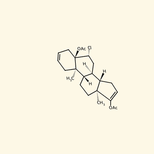 CC(=O)OC1=CC[C@H]2[C@@H]3C[C@@H](Cl)[C@@]4(OC(C)=O)CC=CC[C@]4(C)[C@H]3CC[C@]12C